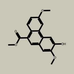 COC(=O)c1cc2cc(OC)c(O)cc2c2cc(OC)ccc12